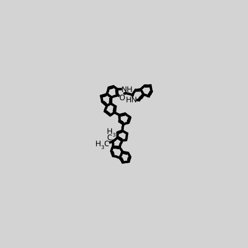 CC1(C)C2=C(CCC(c3cccc(-c4ccc5ccc6ccc7c(c6c5c4)OC(C4C=c5ccccc5=CN4)N7)c3)=C2)c2c1ccc1ccccc21